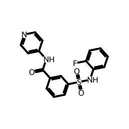 O=C(Nc1ccncc1)c1cccc(S(=O)(=O)Nc2ccccc2F)c1